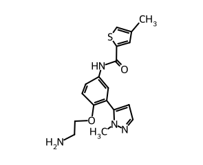 Cc1csc(C(=O)Nc2ccc(OCCN)c(-c3ccnn3C)c2)c1